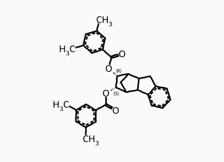 Cc1cc(C)cc(C(=O)O[C@@H]2C3CC(C4c5ccccc5CC43)[C@@H]2OC(=O)c2cc(C)cc(C)c2)c1